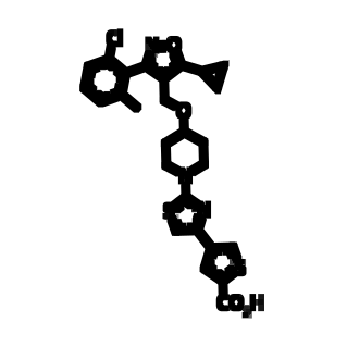 Cc1cccc(Cl)c1-c1noc(C2CC2)c1COC1CCN(c2nc(-c3csc(C(=O)O)c3)cs2)CC1